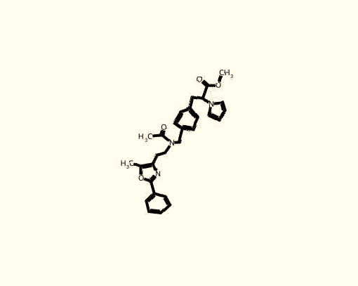 COC(=O)C(Cc1ccc(CN(CCc2nc(-c3ccccc3)oc2C)C(C)=O)cc1)n1cccc1